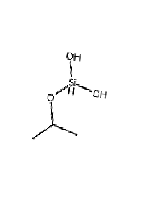 CC(C)O[SiH](O)O